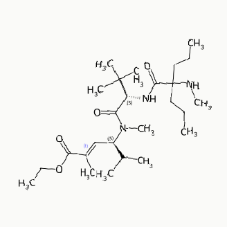 CCCC(CCC)(NC)C(=O)N[C@H](C(=O)N(C)[C@H](/C=C(\C)C(=O)OCC)C(C)C)C(C)(C)C